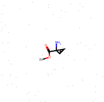 CCOC(=O)C1(N)C=C1